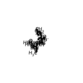 CCON=C(C(=O)NC1C(=O)N2C(C(=O)[O-])=C(C[n+]3ccc(OC)cc3)CS[C@@H]12)c1nsc(NP(=O)(O)O)n1